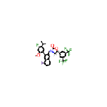 COc1cc(F)c(C(C)C)cc1-c1cc2c(I)cccc2cc1CN1C(=O)O[C@H](c2cc(C(F)(F)F)cc(C(F)(F)F)c2)[C@@H]1C